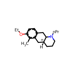 CCCN1CCC[C@@H]2Cc3c(ccc(OCC)c3C)CC21